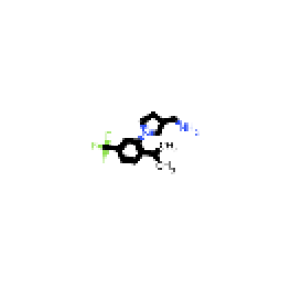 CC(C)c1ccc(C(F)(F)F)cc1N1CCC(CN)C1